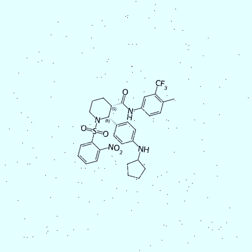 Cc1ccc(NC(=O)[C@H]2CCCN(S(=O)(=O)c3ccccc3[N+](=O)[O-])[C@H]2c2ccc(NC3CCCC3)cc2)cc1C(F)(F)F